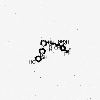 CC(/C=C(\N)NC1CCCN(C2CCN([C@]3(S)CC[C@H](O)CC3)CC2)C1)=C(/N)c1ccc(C(F)(F)F)cc1O